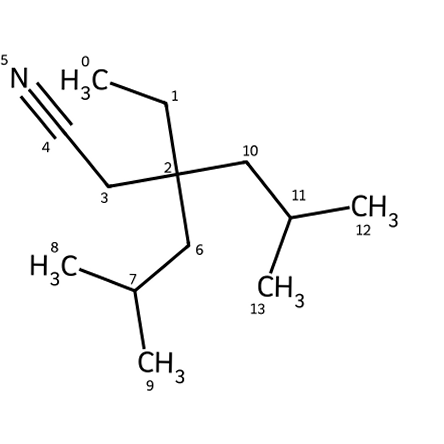 CCC(CC#N)(CC(C)C)CC(C)C